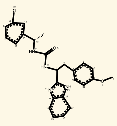 COc1ccc(CC(NC(=O)N[C@@H](C)c2cccc(Cl)c2)c2nc3ccccc3[nH]2)cc1